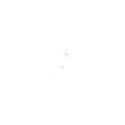 CC(=O)CCCN1CCC(Cn2cc(C(C)C)cn2)CC1